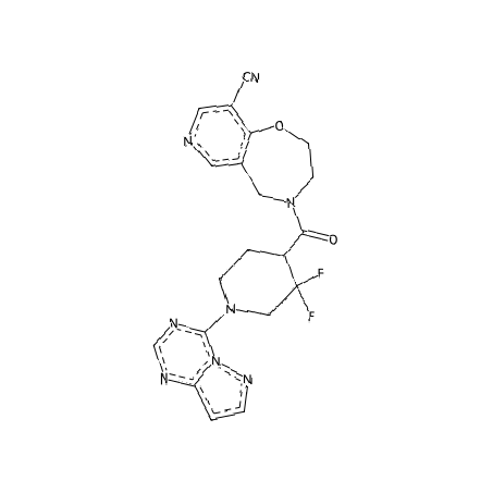 N#Cc1cncc2c1OCCN(C(=O)C1CCN(c3ncnc4ccnn34)CC1(F)F)C2